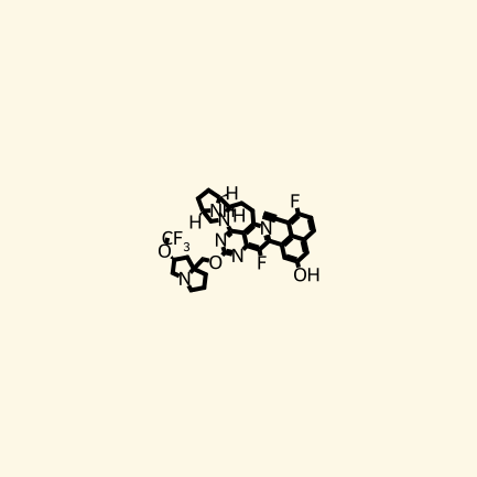 C#Cc1c(F)ccc2cc(O)cc(-c3nc4c5c(nc(OCC67CCCN6C[C@@H](OC(F)(F)F)C7)nc5c3F)N3C[C@H]5CC[C@H](N5)[C@H]3CC4)c12